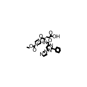 CCOC(=O)N1CCN(C(=O)[C@H](CCC(=O)O)NC(=O)c2cc(-n3ccnc3)nc(-c3ccccc3)n2)CC1